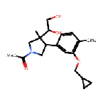 COC(=O)N1CC(c2ccc(OC)c(OCC3CC3)c2)C(C)(C(O)CO)C1